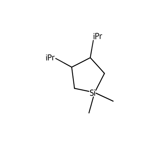 CC(C)C1C[Si](C)(C)CC1C(C)C